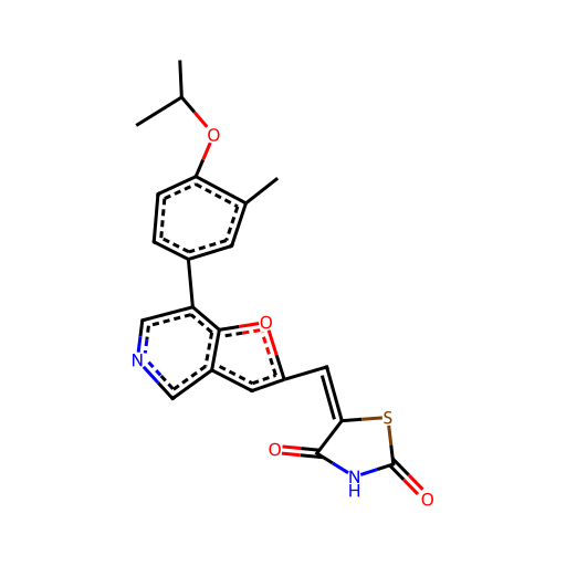 Cc1cc(-c2cncc3cc(/C=C4/SC(=O)NC4=O)oc23)ccc1OC(C)C